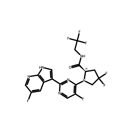 O=C(NCC(F)(F)F)[C@H]1CC(F)(F)CN1c1nc(-c2c[nH]c3ncc(F)cc23)ncc1F